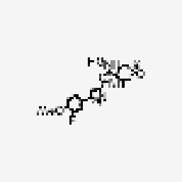 COc1ccc(-c2cc(CNC3(C(=O)NO)CCS(=O)(=O)CC3)no2)cc1F